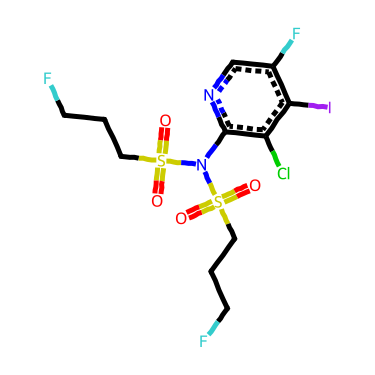 O=S(=O)(CCCF)N(c1ncc(F)c(I)c1Cl)S(=O)(=O)CCCF